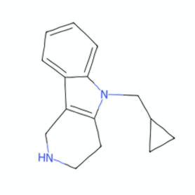 c1ccc2c(c1)c1c(n2CC2CC2)CCNC1